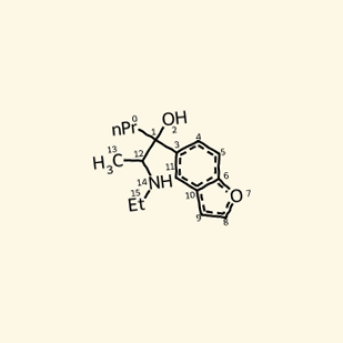 CCCC(O)(c1ccc2occc2c1)C(C)NCC